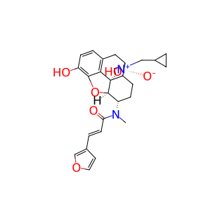 CN(C(=O)/C=C/c1ccoc1)[C@H]1CC[C@]2(O)C3Cc4ccc(O)c5c4[C@]2(CC[N@+]3([O-])CC2CC2)[C@@H]1O5